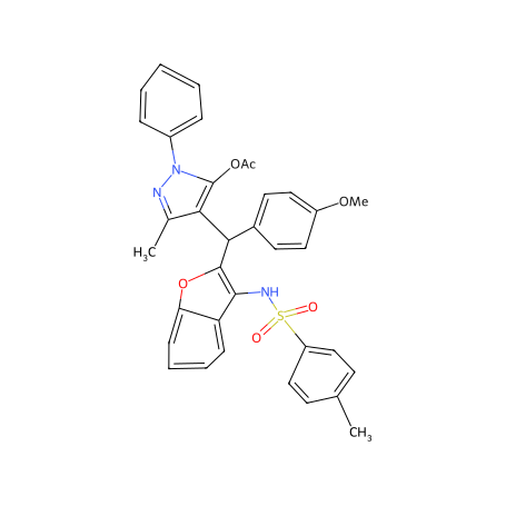 COc1ccc(C(c2oc3ccccc3c2NS(=O)(=O)c2ccc(C)cc2)c2c(C)nn(-c3ccccc3)c2OC(C)=O)cc1